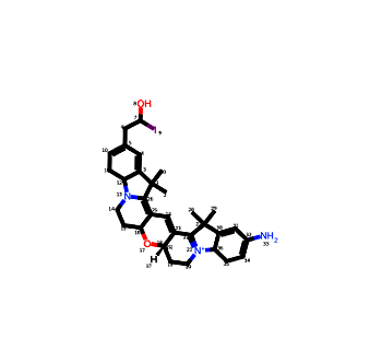 CC1(C)C2=CC(CC(O)I)=CCC2N2CCC3O[C@H]4CC[N+]5=C(C4=CC3=C21)C(C)(C)C1=CC(N)=CCC15